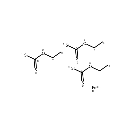 CCOC(=S)[S-].CCOC(=S)[S-].CCOC(=S)[S-].[Fe+3]